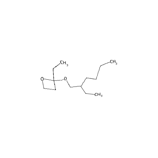 CCCCC(CC)COC1(CC)CCO1